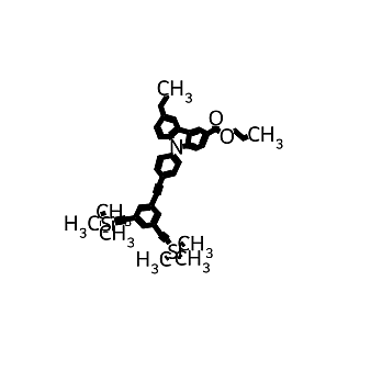 CCCOC(=O)c1ccc2c(c1)c1cc(CCC)ccc1n2-c1ccc(C#Cc2cc(C#C[Si](C)(C)C)cc(C#C[Si](C)(C)C)c2)cc1